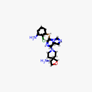 Nc1cccc(Sc2cnc(N3CCC4(CC3)COC[C@H]4N)c3cncn23)c1Cl